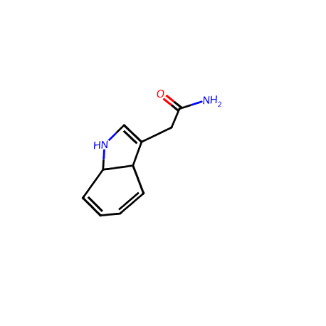 NC(=O)CC1=CNC2C=CC=CC12